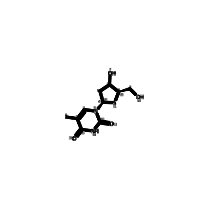 Cc1cn([C@H]2CC(O)[C@@H](CO)S2)c(=O)[nH]c1=O